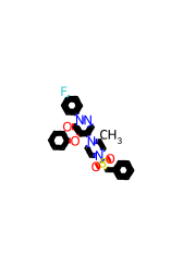 C[C@@H]1CN(S(=O)(=O)Cc2ccccc2)CCN1c1cnn(-c2ccc(F)cc2)c(=O)c1OC1CCCCC1